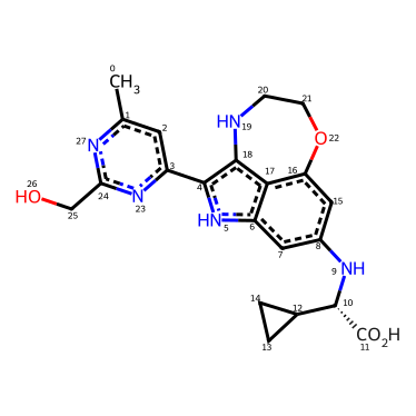 Cc1cc(-c2[nH]c3cc(N[C@H](C(=O)O)C4CC4)cc4c3c2NCCO4)nc(CO)n1